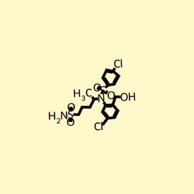 CC(CCCS(N)(=O)=O)N(c1cc(Cl)ccc1CO)S(=O)(=O)c1ccc(Cl)cc1